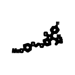 COc1ccc(OCCOc2ccc3c(c2)C(=O)C(c2ccc(F)cc2)=C3c2ncsc2C)cc1